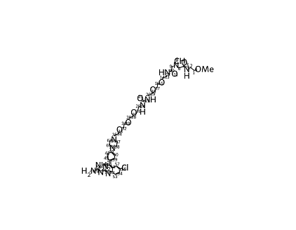 COCCNC(=O)CN(C)CC(=O)NCCOCCOCCNC(=O)NCCOCCOCCOCCN1CCN(c2ccc(-c3nc(N=C(N)N)nc4ccc(Cl)cc34)cc2)CC1